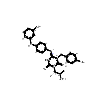 C[C@@H](C(=O)O)[C@H](C)n1c(=O)[nH]/c(=N\c2ccc(Oc3cc(Cl)ccn3)cc2)n(Cc2ccc(Cl)cc2)c1=O